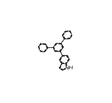 c1ccc(-c2cc(-c3ccccc3)cc(-c3ccc4[nH]ccc4c3)c2)cc1